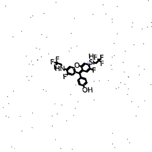 Oc1ccc(C2=c3cc(F)/c(=[SiH]\CC(F)(F)F)cc3Oc3cc(NCC(F)(F)F)c(F)cc32)cc1